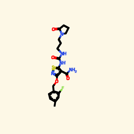 Cc1ccc(COc2nsc(NC(=O)NCCCN3CCCC3=O)c2C(N)=O)c(F)c1